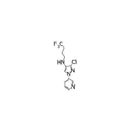 FC(F)(F)CCCNc1cn(-c2cccnc2)nc1Cl